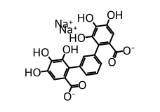 O=C([O-])c1cc(O)c(O)c(O)c1-c1cccc(-c2c(C(=O)[O-])cc(O)c(O)c2O)c1.[Na+].[Na+]